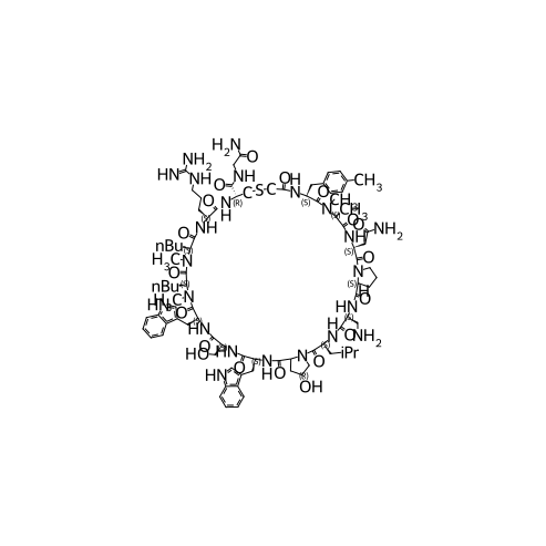 CCCC[C@H]1C(=O)N(C)[C@@H](CCCC)C(=O)N[C@@H](CCCNC(=N)N)C(=O)N[C@H](C(=O)NCC(N)=O)CSCC(=O)N[C@@H](Cc2ccc(C)cc2)C(=O)N(C)[C@@H](C)C(=O)N[C@@H](CC(N)=O)C(=O)N2CCC[C@H]2C(=O)N[C@@H](CN)C(=O)N[C@@H](CC(C)C)C(=O)N2C[C@H](O)CC2C(=O)N[C@@H](Cc2c[nH]c3ccccc23)C(=O)N[C@@H](CO)C(=O)N[C@@H](Cc2c[nH]c3ccccc23)C(=O)N1C